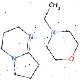 C1CN=C2CCCN2C1.CCN1CCOCC1